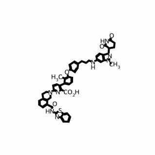 Cc1c(Oc2ccc(CCCNc3ccc4c(C5CCC(=O)NC5=O)nn(C)c4c3)cc2)cccc1-c1ccc(N2CCc3cccc(C(=O)Nc4nc5ccccc5s4)c3C2)nc1C(=O)O